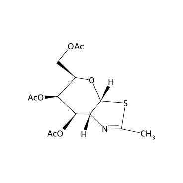 CC(=O)OC[C@H]1O[C@@H]2SC(C)=N[C@@H]2[C@@H](OC(C)=O)[C@H]1OC(C)=O